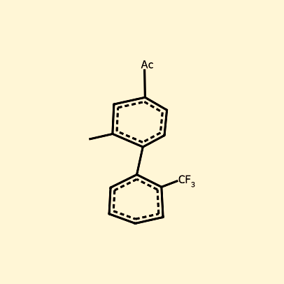 CC(=O)c1ccc(-c2ccccc2C(F)(F)F)c(C)c1